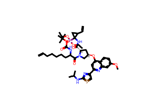 C=CCCCCCC(NC(=O)OC(C)(C)C)C(=O)N1C[C@H](Oc2cc(-c3csc(NC(C)C)n3)nc3cc(OC)ccc23)C[C@H]1C(=O)NC1(P(=O)(OCC)OCC)CC1C=C